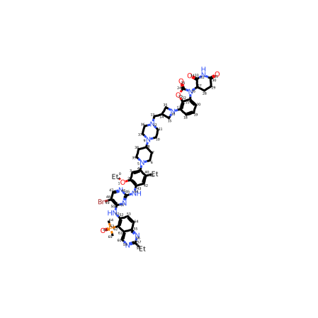 CCOc1cc(N2CCC(N3CCN(CC4CN(c5cccc6c5oc(=O)n6C5CCC(=O)NC5=O)C4)CC3)CC2)c(CC)cc1Nc1ncc(Br)c(Nc2ccc3nc(CC)ncc3c2P(C)(C)=O)n1